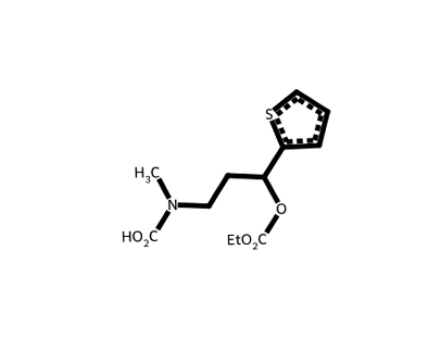 CCOC(=O)OC(CCN(C)C(=O)O)c1cccs1